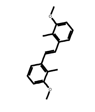 COc1cccc(/C=C/c2cccc(OC)c2C)c1C